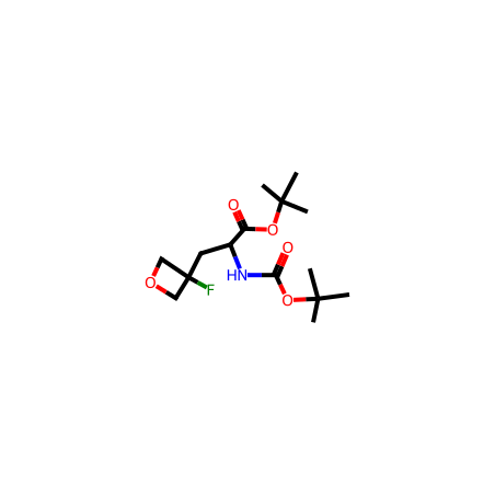 CC(C)(C)OC(=O)NC(CC1(F)COC1)C(=O)OC(C)(C)C